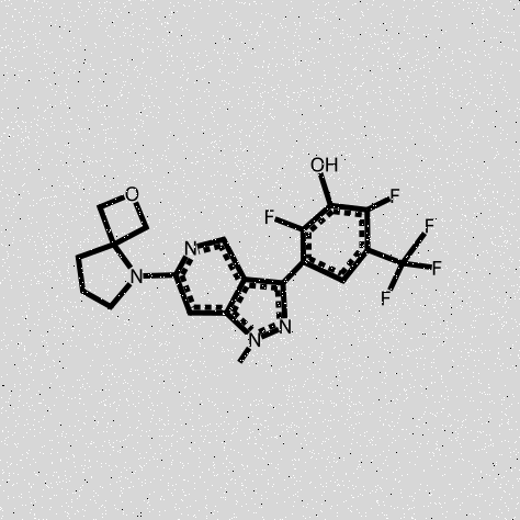 Cn1nc(-c2cc(C(F)(F)F)c(F)c(O)c2F)c2cnc(N3CCCC34COC4)cc21